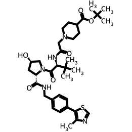 Cc1ncsc1-c1ccc(CNC(=O)[C@@H]2C[C@@H](O)CN2C(=O)[C@@H](NC(=O)CN2CCC(C(=O)OC(C)(C)C)CC2)C(C)(C)C)cc1